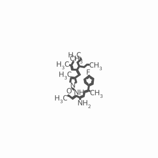 CC/C=C(NC(=O)N1CC(C)=C(/C=C(\C=C(\C)CC)C(CCC)CCC)C1)/C(N)=C\C=C(/C)c1ccc(F)cc1